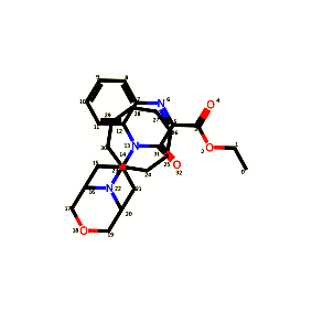 CCOC(=O)c1nc2ccccc2n(C2CC3COCC(C2)N3C2CCCCCCC2)c1=O